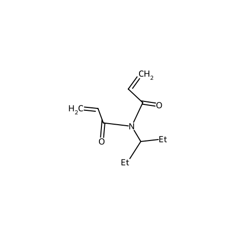 C=CC(=O)N(C(=O)C=C)C(CC)CC